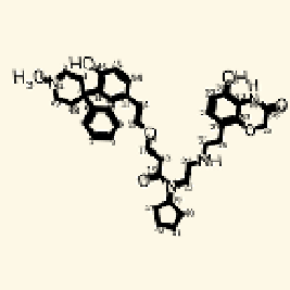 CN1CCC(c2ccccc2)(c2cc(CCOCCC(=O)N(CCNCCc3ccc(O)c4c3OCC(=O)N4)C3CCCC3)ccc2O)CC1